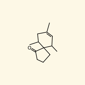 CC1=CC(C)C2(CCCC2=O)C(C)C1